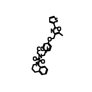 Cc1oc(-c2cccs2)nc1COc1ccc(CN(CC(=O)O)S(=O)(=O)N2CCCc3ccccc32)cc1